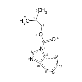 CC(C)COC(=O)n1cnc2ccccc21